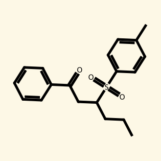 CCCC(CC(=O)c1ccccc1)S(=O)(=O)c1ccc(C)cc1